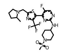 CC1CCCN1Cc1nc(C(F)(F)F)c(-c2nc(NC3CCN(S(C)(=O)=O)CC3)ncc2F)s1